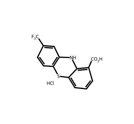 Cl.O=C(O)c1cccc2c1Nc1cc(C(F)(F)F)ccc1S2